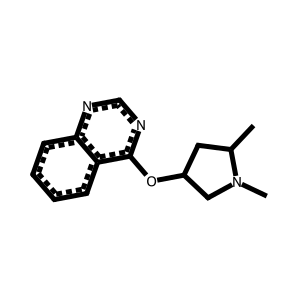 CC1CC(Oc2ncnc3ccccc23)CN1C